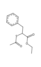 CCOC(=O)C(Cc1ccccc1)SC(C)=O